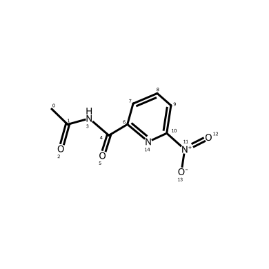 CC(=O)NC(=O)c1cccc([N+](=O)[O-])n1